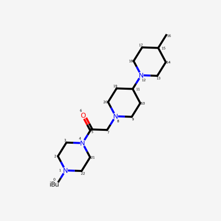 CCC(C)N1CCN(C(=O)CN2CCC(N3CCC(C)CC3)CC2)CC1